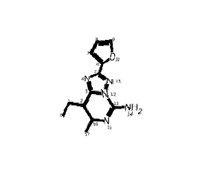 CCC1c2nc(-c3ccco3)nn2C(N)=NC1C